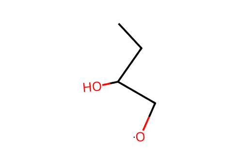 CCC(O)C[O]